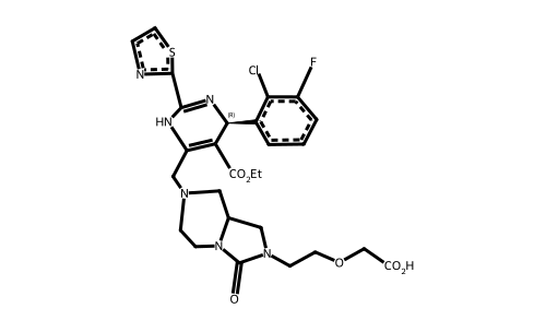 CCOC(=O)C1=C(CN2CCN3C(=O)N(CCOCC(=O)O)CC3C2)NC(c2nccs2)=N[C@H]1c1cccc(F)c1Cl